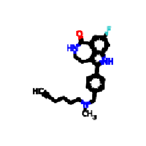 C#CCCCCN(C)Cc1ccc(-c2[nH]c3cc(F)cc4c3c2CCNC4=O)cc1